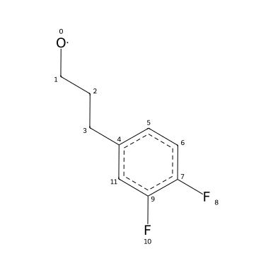 [O]CCCc1ccc(F)c(F)c1